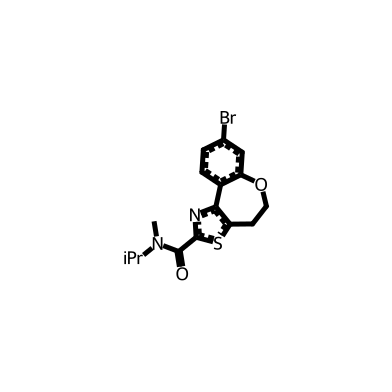 CC(C)N(C)C(=O)c1nc2c(s1)CCOc1cc(Br)ccc1-2